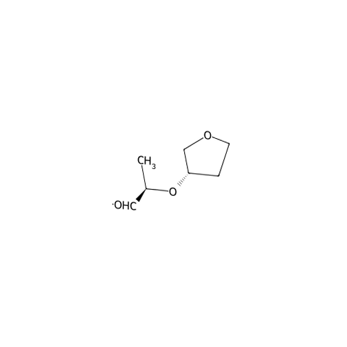 C[C@H]([C]=O)O[C@H]1CCOC1